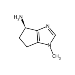 Cn1cnc2c1CC[C@H]2N